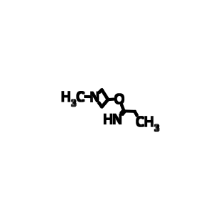 CCC(=N)OC1CN(C)C1